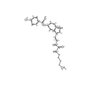 CCCCCNC(=O)N/N=C/c1c[nH]c2ccc(OC(=O)c3ccc(Cl)cc3)cc12